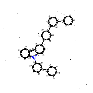 c1ccc(-c2cccc(-c3ccc(-c4ccc5c(c4)c4ccccc4n5-c4cccc(-c5ccccc5)c4)cc3)c2)cc1